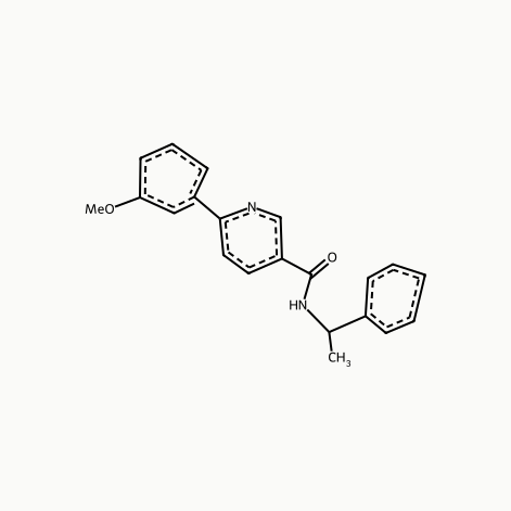 COc1cccc(-c2ccc(C(=O)NC(C)c3ccccc3)cn2)c1